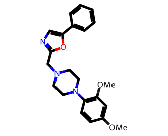 COc1ccc(N2CCN(Cc3ncc(-c4ccccc4)o3)CC2)c(OC)c1